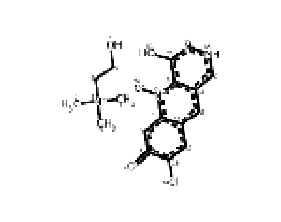 C[N+](C)(C)CCO.O=c1cc2c(cc1Cl)cc1c[nH]nc(O)c1[n+]2[O-]